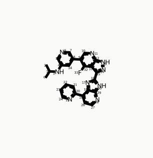 CC(C)Nc1cncc(-c2cnc3[nH]nc(-c4nc5c(-c6ccccn6)ccnc5[nH]4)c3c2F)c1